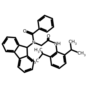 CC(C)c1cccc(C(C)C)c1NC(=O)CN(C(=O)c1ccccc1)C1c2ccccc2-c2ccccc21